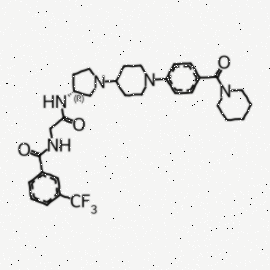 O=C(CNC(=O)c1cccc(C(F)(F)F)c1)N[C@@H]1CCN(C2CCN(c3ccc(C(=O)N4CCCCC4)cc3)CC2)C1